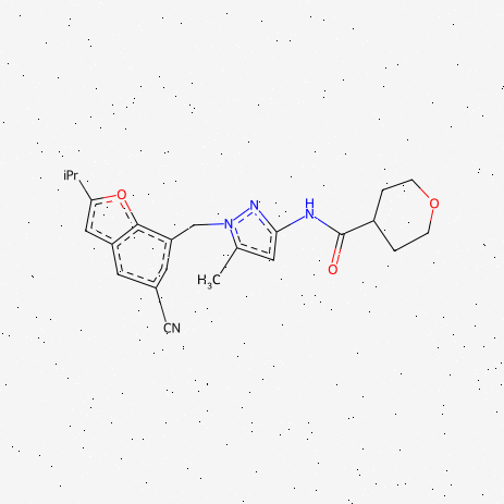 Cc1cc(NC(=O)C2CCOCC2)nn1Cc1cc(C#N)cc2cc(C(C)C)oc12